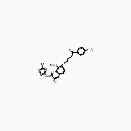 CCc1nnc(NC(=O)C(C#N)=Cc2ccc(OCCCC(=O)c3ccc(C)cc3)c(OC)c2)s1